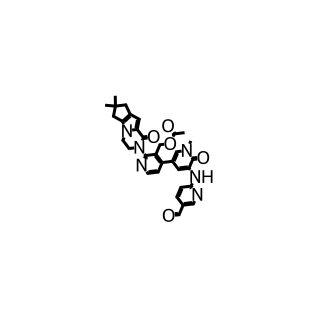 CC(=O)OCc1c(-c2cc(Nc3ccc(C=O)cn3)c(=O)n(C)c2)ccnc1N1CCn2c(cc3c2CC(C)(C)C3)C1=O